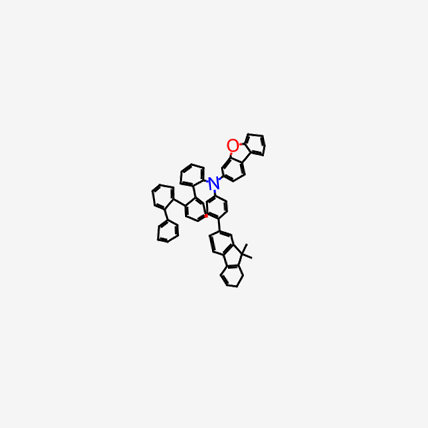 CC1(C)C2=C(C=CCC2)c2ccc(-c3ccc(N(c4ccc5c(c4)oc4ccccc45)c4ccccc4-c4ccccc4-c4ccccc4-c4ccccc4)cc3)cc21